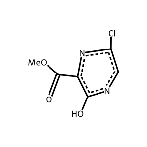 COC(=O)c1nc(Cl)cnc1O